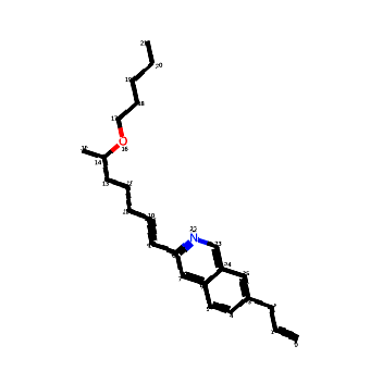 C=CCc1ccc2cc(C=CCCCC(C)OCCCCC)ncc2c1